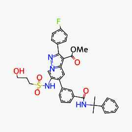 COC(=O)c1c(-c2ccc(F)cc2)nn2cc(NS(=O)(=O)CCCO)c(-c3cccc(C(=O)NC(C)(C)c4ccccc4)c3)cc12